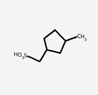 CC1CCC(CS(=O)(=O)O)C1